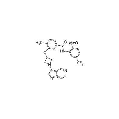 COc1ccc(C(F)(F)F)cc1NC(=O)c1ccc(C)c(OC2CN(c3cnn4ccncc34)C2)c1